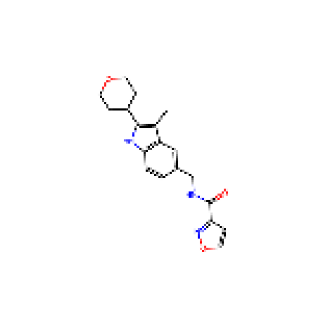 Cc1c(C2CCOCC2)[nH]c2ccc(CNC(=O)c3ccon3)cc12